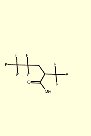 O=C(O)C(CC(F)(F)C(F)(F)F)C(F)(F)F